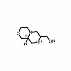 OCC1CN2CCOC[C@H]2CN1